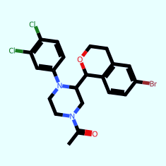 CC(=O)N1CCN(c2ccc(Cl)c(Cl)c2)C(C2OCCc3cc(Br)ccc32)C1